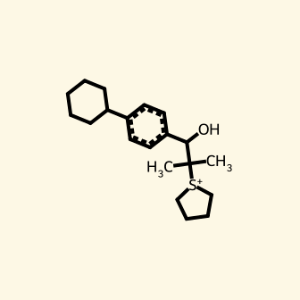 CC(C)(C(O)c1ccc(C2CCCCC2)cc1)[S+]1CCCC1